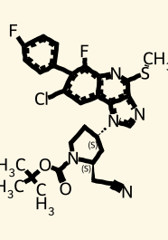 CSc1nc2c(F)c(-c3ccc(F)cc3)c(Cl)cc2c2c1ncn2[C@H]1CCN(C(=O)OC(C)(C)C)[C@H](CC#N)C1